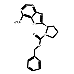 O=C(O)c1ncnc2nc([C@H]3CCCN3C(=O)OCc3ccccc3)[nH]c12